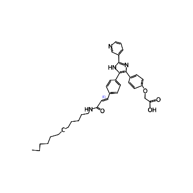 CCCCCCCCCCCCNC(=O)/C=C/c1ccc(-c2[nH]c(-c3cccnc3)nc2-c2ccc(OCC(=O)O)cc2)cc1